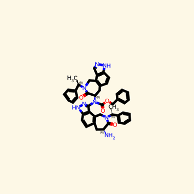 C[C@H](c1ccccc1)N1Cc2c(ccc3[nH]nc(N(C(=O)OCc4ccccc4)[C@@H]4Cc5ccc6[nH]ncc6c5CN([C@H](C)c5ccccc5)C4=O)c23)C[C@@H](N)C1=O